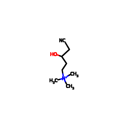 C[N+](C)(C)CCC(O)CC#N